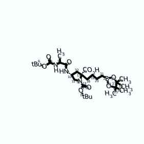 CC(NC(=O)OC(C)(C)C)C(=O)N[C@H]1CN(C(=O)OC(C)(C)C)[C@@](CCCCB2OC(C)(C)C(C)(C)O2)(C(=O)O)C1